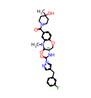 CN1C(=O)[C@@H](NC(=O)n2cc(Cc3cccc(F)c3)cn2)COc2ccc(C(=O)N3CCC(C)(O)CC3)cc21